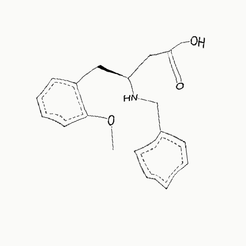 COc1ccccc1C[C@@H](CC(=O)O)NCc1ccccc1